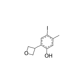 Cc1cc(O)c(C2COC2)cc1I